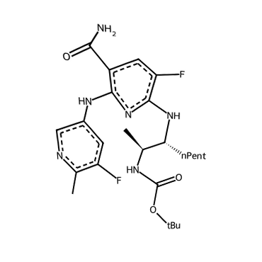 CCCCC[C@@H](Nc1nc(Nc2cnc(C)c(F)c2)c(C(N)=O)cc1F)[C@H](C)NC(=O)OC(C)(C)C